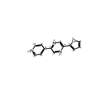 c1coc(-c2cnc(-c3ccncc3)cn2)c1